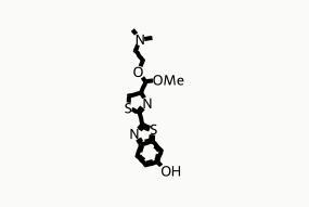 COC(OCCN(C)C)C1CSC(c2nc3ccc(O)cc3s2)=N1